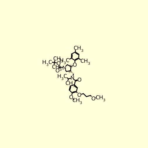 COCCCOc1cc(C(=O)N(C[C@@H]2CN(C(=O)OC(C)(C)C)C[C@H]2Oc2c(C)cc(C)cc2C)C(C)C)ccc1OC